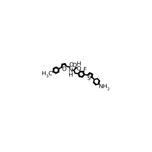 Cc1ccc(-c2ccc(C(=O)NC(Cc3ccc(-c4ccc(C5C=CC(N)=CC5)s4)c(F)c3)C(=O)O)o2)cc1